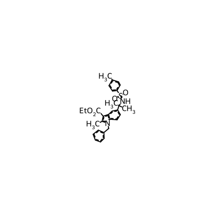 CCOC(=O)c1c(C)n(Cc2ccccc2)c2ccc(C(C)(C)NS(=O)(=O)c3ccc(C)cc3)cc12